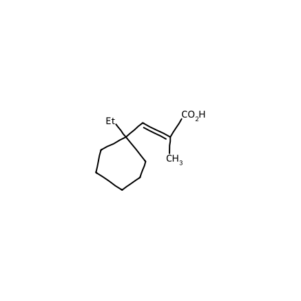 CCC1(C=C(C)C(=O)O)CCCCC1